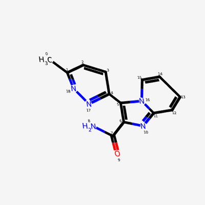 Cc1ccc(-c2c(C(N)=O)nc3ccccn23)nn1